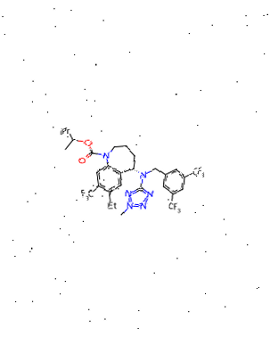 CCc1cc2c(cc1C(F)(F)F)N(C(=O)OC(C)C(C)C)CCC[C@@H]2N(Cc1cc(C(F)(F)F)cc(C(F)(F)F)c1)c1nnn(C)n1